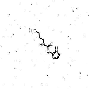 CCCCNC(=O)Oc1ncc[nH]1